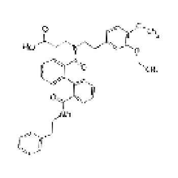 CCOc1cc(CCN(CCC(=O)O)C(=O)c2ccccc2-c2ccccc2C(=O)NCCc2ccccc2)ccc1OC